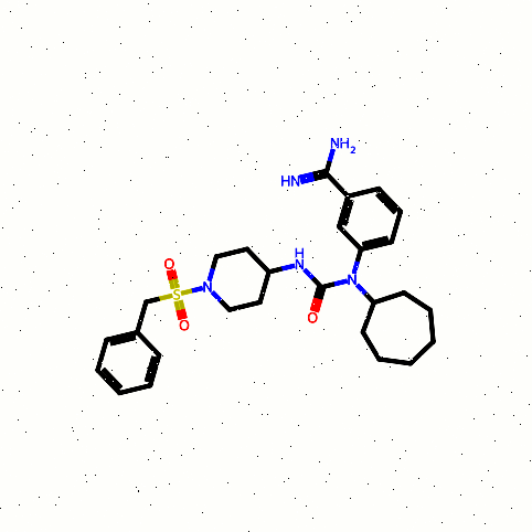 N=C(N)c1cccc(N(C(=O)NC2CCN(S(=O)(=O)Cc3ccccc3)CC2)C2CCCCCC2)c1